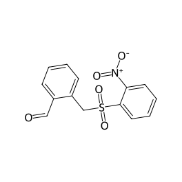 O=Cc1ccccc1CS(=O)(=O)c1ccccc1[N+](=O)[O-]